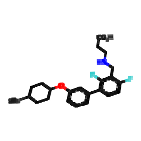 CC(C)(C)C1CCC(Oc2cccc(-c3ccc(F)c(CNCCC(=O)O)c3F)c2)CC1